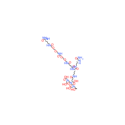 C=C(O)CN(CCN(CCN(CC(=O)O)CC(=O)O)[C@@H](CCC(=O)NCCCC[C@H](NC(=O)CCCC(=O)NCCOCCOCC(=O)NCCOCCOCC(=O)NCCCC[C@H](NC)C(N)=O)C(=O)NCCCC[C@@H](NC)C(N)=O)C(=O)O)CC(=O)O